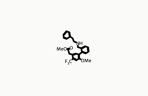 COC(=O)Cc1cc(-c2ccccc2CNCCc2ccccc2)c(OC)cc1C(F)(F)F